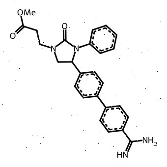 COC(=O)CCN1CC(c2ccc(-c3ccc(C(=N)N)cc3)cc2)N(c2ccccc2)C1=O